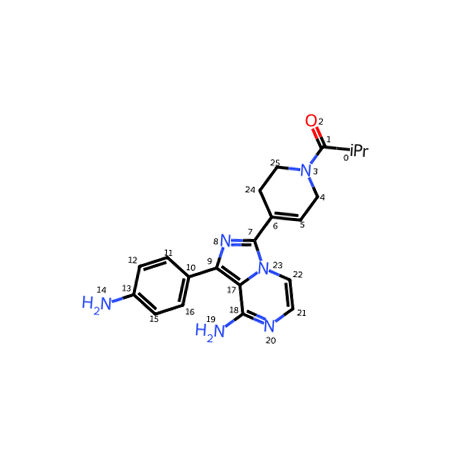 CC(C)C(=O)N1CC=C(c2nc(-c3ccc(N)cc3)c3c(N)nccn23)CC1